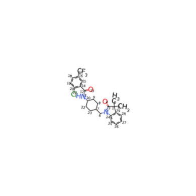 CC1(C)C(=O)N(CC2CCC(NC(=O)c3cc(C(F)(F)F)ccc3Cl)CC2)c2ccccc21